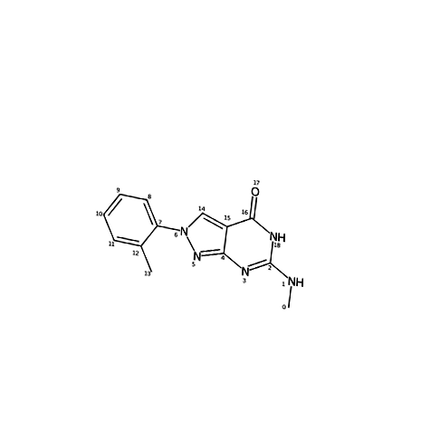 CNc1nc2nn(-c3ccccc3C)cc2c(=O)[nH]1